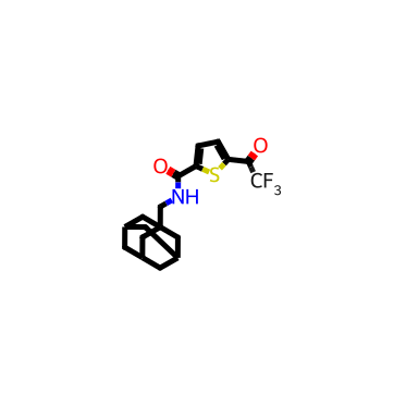 O=C(NCC12CC3CC(CC(C3)C1)C2)c1ccc(C(=O)C(F)(F)F)s1